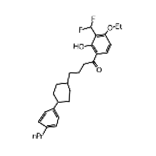 CCCc1ccc(C2CCC(CCCC(=O)c3ccc(OCC)c(C(F)F)c3O)CC2)cc1